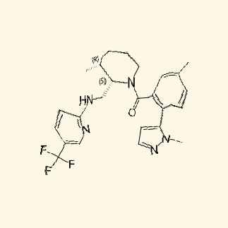 Cc1ccc(-c2ccnn2C)c(C(=O)N2CCC[C@@H](C)[C@H]2CNc2ccc(C(F)(F)F)cn2)c1